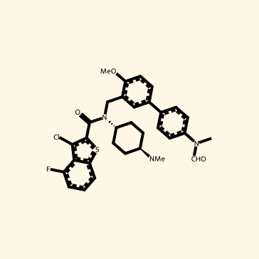 CN[C@H]1CC[C@H](N(Cc2cc(-c3ccc(N(C)C=O)cc3)ccc2OC)C(=O)c2sc3cccc(F)c3c2Cl)CC1